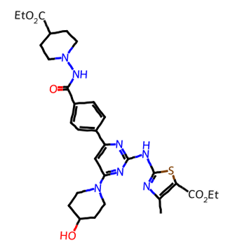 CCOC(=O)c1sc(Nc2nc(-c3ccc(C(=O)NN4CCC(C(=O)OCC)CC4)cc3)cc(N3CCC(O)CC3)n2)nc1C